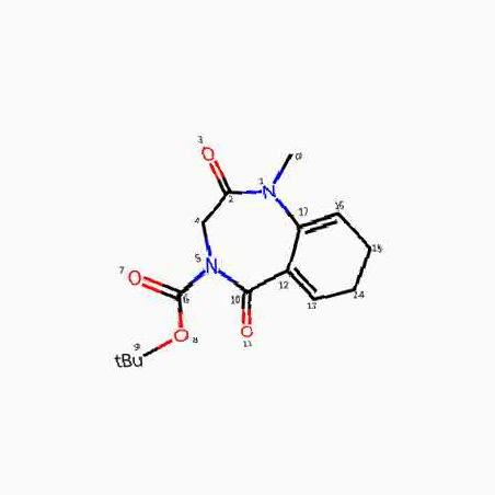 CN1C(=O)CN(C(=O)OC(C)(C)C)C(=O)C2=CCCC=C21